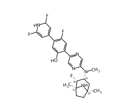 CN(c1cnc(-c2cc(F)c(C3=CC(F)NC(F)=C3)cc2O)cn1)[C@@H]1C[C@@]2(C)CC[C@](C)(N2)[C@@H]1F